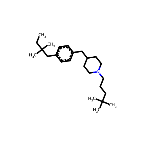 CCC(C)(C)Cc1ccc(CC2CCN(CCCC(C)(C)C)CC2)cc1